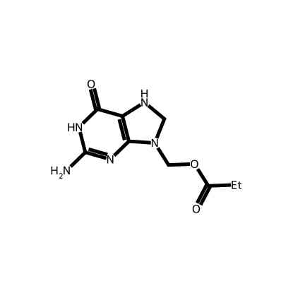 CCC(=O)OCN1CNc2c1nc(N)[nH]c2=O